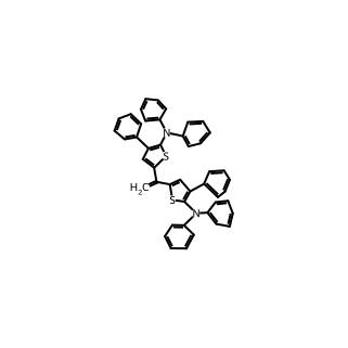 C=C(c1cc(-c2ccccc2)c(N(c2ccccc2)c2ccccc2)s1)c1cc(-c2ccccc2)c(N(c2ccccc2)c2ccccc2)s1